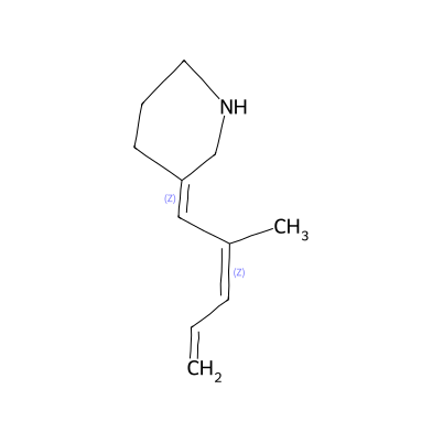 C=C/C=C(C)\C=C1\CCCNC1